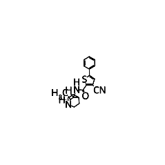 C[C@H]1[C@H](NC(=O)c2sc(-c3ccccc3)cc2C#N)C2CCN1CC2